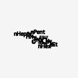 CCCCCCCC(CCCCC)NCC(=O)N1CC2(CCN(CC(CC)CCCCCC)CC2)C1